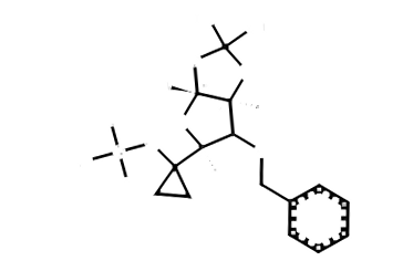 CC[C@]1(C2(O[Si](C)(C)C(C)(C)C)CC2)O[C@@H]2OC(C)(C)O[C@H]2C1OCc1ccccc1